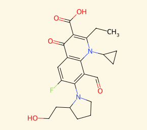 CCc1c(C(=O)O)c(=O)c2cc(F)c(N3CCCC3CCO)c(C=O)c2n1C1CC1